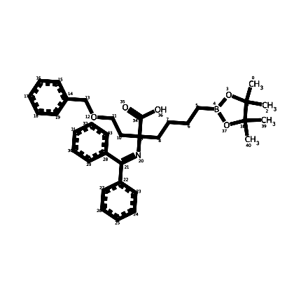 CC1(C)OB(CCCCC(CCOCc2ccccc2)(N=C(c2ccccc2)c2ccccc2)C(=O)O)OC1(C)C